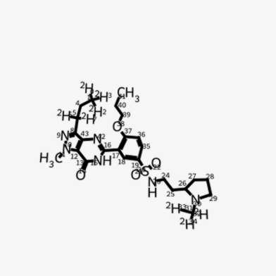 [2H]C([2H])([2H])CC([2H])([2H])c1nn(C)c2c(=O)[nH]c(-c3cc(S(=O)(=O)NCCC4CCCN4C([2H])([2H])[2H])ccc3OCCC)nc12